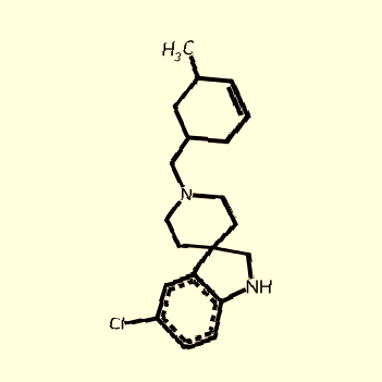 CC1C=CCC(CN2CCC3(CC2)CNc2ccc(Cl)cc23)C1